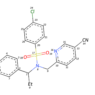 CCC(c1ccccc1)N(Cc1ccc(C#N)cn1)S(=O)(=O)c1ccc(Cl)cc1